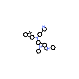 CC1(C)c2ccccc2-c2ccc(N(c3ccc(-c4cccnc4)cc3)c3ccc4c(c3)c3ccc5c(ccn5-c5ccccc5)c3n4-c3ccccc3)cc21